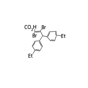 CCc1ccc(C(C(Br)=C(Br)C(=O)O)c2ccc(CC)cc2)cc1